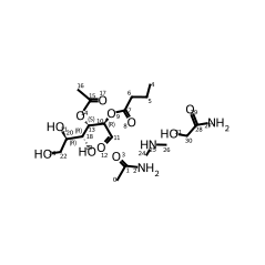 CC(N)=O.CCCC(=O)O[C@@H](C=O)[C@@H](OC(C)=O)[C@H](O)[C@H](O)CO.CNC.NC(=O)CO